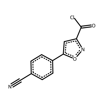 N#Cc1ccc(-c2cc(C(=O)Cl)no2)cc1